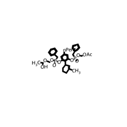 CCCCCc1cc(OP(=O)(Cc2ccccc2)OCOC(C)=O)c(C2C=C(C)CCC2)c(OP(=O)(Cc2ccccc2)OCOC(C)O)c1